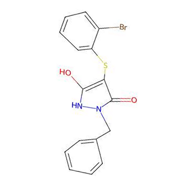 O=c1c(Sc2ccccc2Br)c(O)[nH]n1Cc1ccccc1